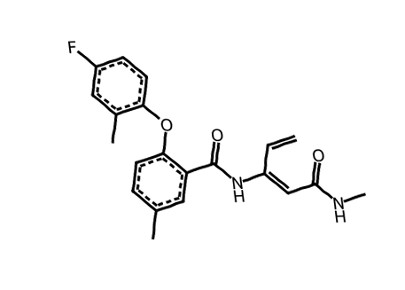 C=C/C(=C\C(=O)NC)NC(=O)c1cc(C)ccc1Oc1ccc(F)cc1C